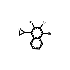 Brc1c(Br)c(C2CO2)c2ccccc2c1Br